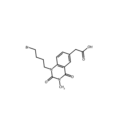 Cn1c(=O)c2cc(CC(=O)O)ccc2n(CCCCBr)c1=O